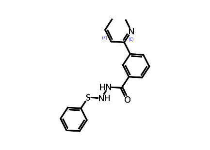 C/C=C\C(=N/C)c1cccc(C(=O)NNSc2ccccc2)c1